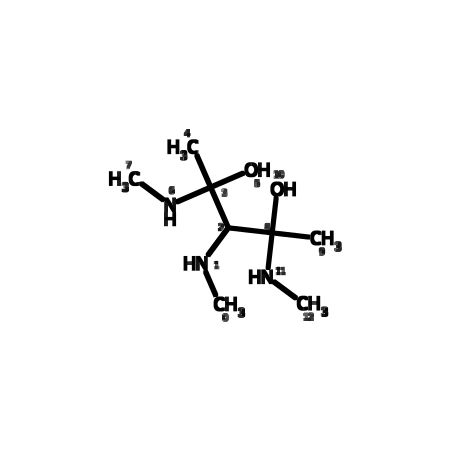 CNC(C(C)(O)NC)C(C)(O)NC